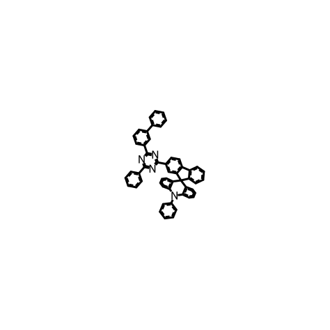 c1ccc(-c2cccc(-c3nc(-c4ccccc4)nc(-c4ccc5c(c4)C4(c6ccccc6-5)c5ccccc5N(c5ccccc5)c5ccccc54)n3)c2)cc1